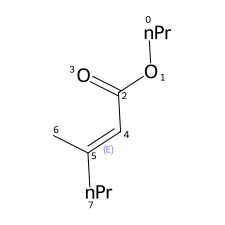 CCCOC(=O)/C=C(\C)CCC